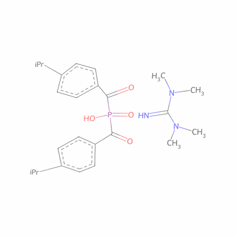 CC(C)c1ccc(C(=O)P(=O)(O)C(=O)c2ccc(C(C)C)cc2)cc1.CN(C)C(=N)N(C)C